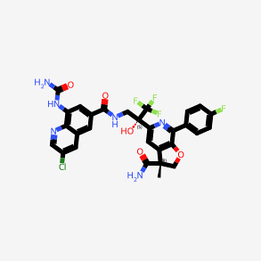 C[C@]1(C(N)=O)COc2c1cc([C@@](O)(CNC(=O)c1cc(NC(N)=O)c3ncc(Cl)cc3c1)C(F)(F)F)nc2-c1ccc(F)cc1